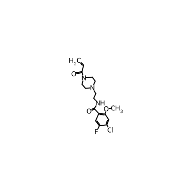 C=CC(=O)N1CCN(CCNC(=O)c2cc(F)c(Cl)cc2OC)CC1